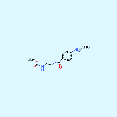 CC(C)(C)OC(=O)NCCNC(=O)c1ccc(NCC=O)cc1